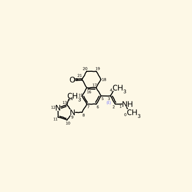 CN/C=C(\C)c1cc(Cn2ccnc2C)cc2c1CCCC2=O